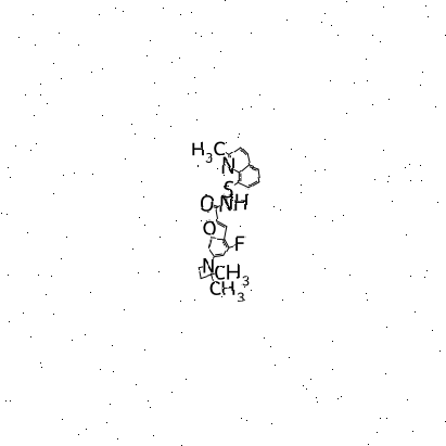 Cc1ccc2cccc(SNC(=O)c3cc4c(F)cc(N5CCC5(C)C)cc4o3)c2n1